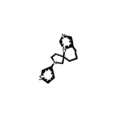 c1cc(N2CCC3(CCCc4cncn43)C2)cs1